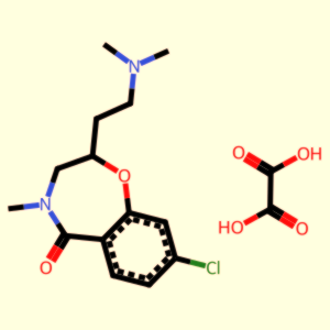 CN(C)CCC1CN(C)C(=O)c2ccc(Cl)cc2O1.O=C(O)C(=O)O